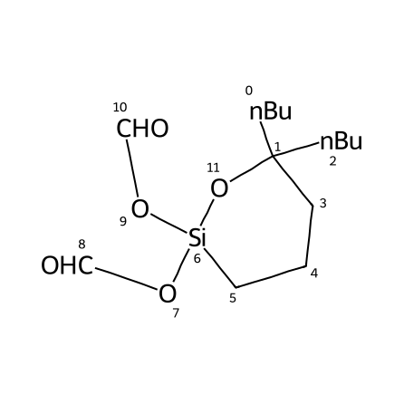 CCCCC1(CCCC)CCC[Si](OC=O)(OC=O)O1